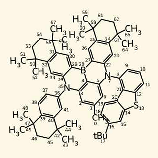 Cc1cc2c3c(c1)N(c1cccc4sc5cc(C(C)(C)C)ccc5c14)c1cc4c(cc1B3c1cc3c(cc1N2c1ccc2c(c1)C(C)(C)CCC2(C)C)C(C)(C)CCC3(C)C)C(C)(C)CCC4(C)C